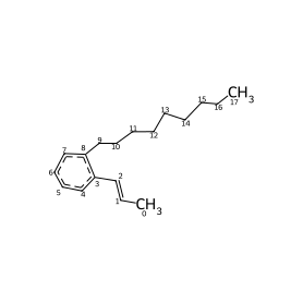 CC=Cc1ccccc1CCCCCCCCC